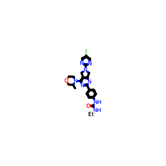 CCNC(=O)Nc1ccc(-c2nc3c(c(N4CCOCC4C)n2)CN(c2ncc(F)cn2)C3)cc1